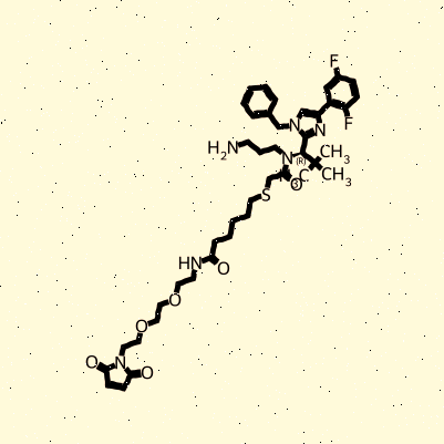 CC(C)(C)[C@H](c1nc(-c2cc(F)ccc2F)cn1Cc1ccccc1)N(CCCN)C(=O)CSCCCCCC(=O)NCCOCCOCCN1C(=O)C=CC1=O